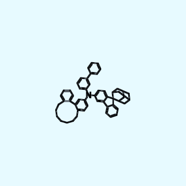 c1ccc(-c2cccc(N(c3ccc4c(c3)-c3ccccc3CCCCCCC4)c3ccc4c(c3)-c3ccccc3C43C4CC5CC(C4)CC3C5)c2)cc1